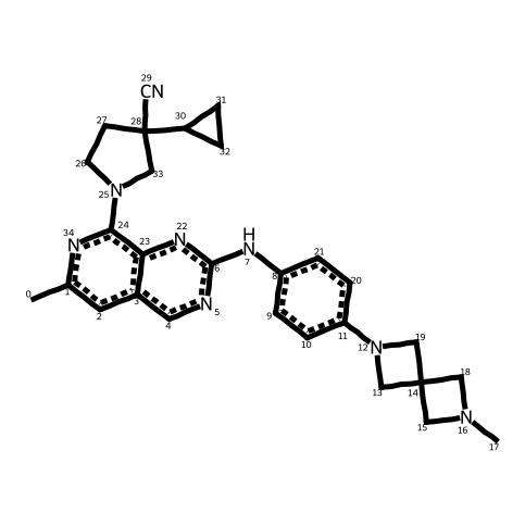 Cc1cc2cnc(Nc3ccc(N4CC5(CN(C)C5)C4)cc3)nc2c(N2CCC(C#N)(C3CC3)C2)n1